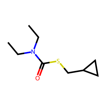 CCN(CC)C(=O)SCC1CC1